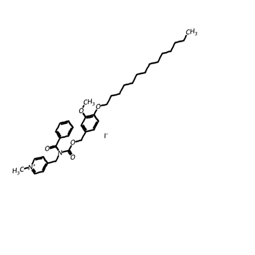 CCCCCCCCCCCCCCOc1ccc(COC(=O)N(Cc2cc[n+](C)cc2)C(=O)c2ccccc2)cc1OC.[I-]